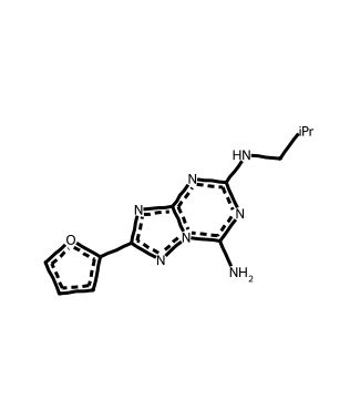 CC(C)CNc1nc(N)n2nc(-c3ccco3)nc2n1